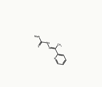 CNC(=S)NN=C(C)c1ccccn1